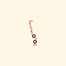 OCCOCCOCCOc1ccc(Oc2ccc(O)cc2)cc1